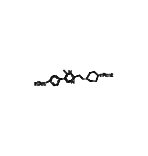 CCCCCCCCCCc1ccc(-c2cnc(CC[C@H]3CC[C@H](CCCCC)CC3)nc2C)cc1